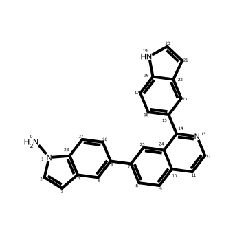 Nn1ccc2cc(-c3ccc4ccnc(-c5ccc6[nH]ccc6c5)c4c3)ccc21